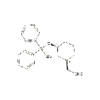 CC(C)(C)[Si](O[C@H]1CCC[C@@H](CC=O)C1)(c1ccccc1)c1ccccc1